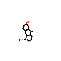 C[C@@H]1c2cc(O)ccc2CC2C1CCCN2C